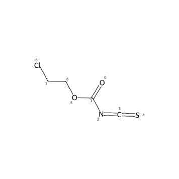 O=C(N=C=S)OCCCl